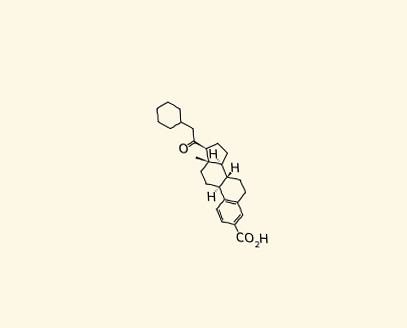 C[C@]12CC[C@@H]3c4ccc(C(=O)O)cc4CC[C@H]3[C@@H]1CC[C@@H]2C(=O)CC1CCCCC1